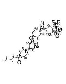 CCCCC(=O)N1CCN(c2cncc(O[C@H]3CC[C@H](Nc4ccc([N+](=O)[O-])c(C(F)(F)F)c4)CC3)c2)CC1